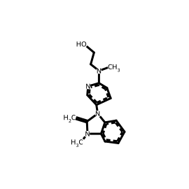 C=C1N(C)c2ccccc2N1c1ccc(N(C)CCO)nc1